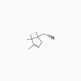 CC1=CCC(C)(CC#N)C1(C)C